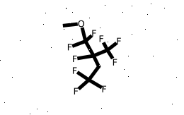 COC(F)(F)C(F)(CC(F)(F)F)C(F)(F)F